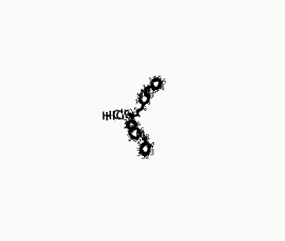 Cl.Cl.O=C(CCCC1CCN(Cc2ccccc2)CC1)c1ccc2c(c1)CN(Cc1ccccc1)CCC2